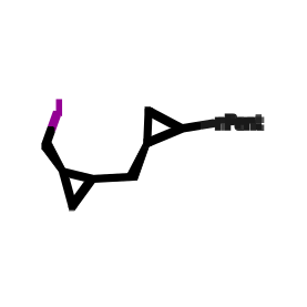 CCCCCC1C[C@@H]1CC1C[C@H]1CI